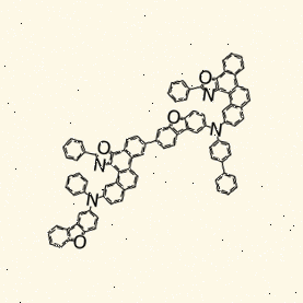 c1ccc(-c2ccc(N(c3ccc4oc5cc(-c6ccc7c(c6)c6ccc8ccc(N(c9ccccc9)c9ccc%10oc%11ccccc%11c%10c9)cc8c6c6nc(-c8ccccc8)oc76)ccc5c4c3)c3ccc4ccc5c6ccccc6c6oc(-c7ccccc7)nc6c5c4c3)cc2)cc1